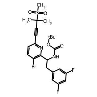 CC(C)(C)OC(=O)NC(Cc1cc(F)cc(F)c1)c1nc(C#CC(C)(C)S(C)(=O)=O)ccc1Br